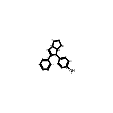 Oc1ccc(C2C(c3ccccc3)=CC3CCCC32)cc1